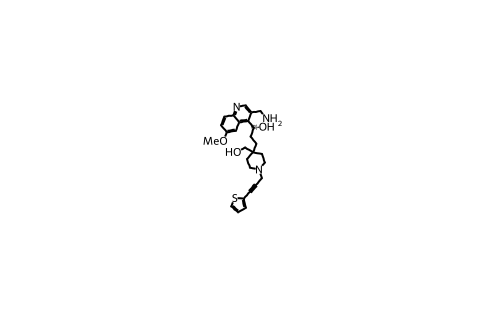 COc1ccc2ncc(CN)c([C@H](O)CCC3(CO)CCN(CC#Cc4cccs4)CC3)c2c1